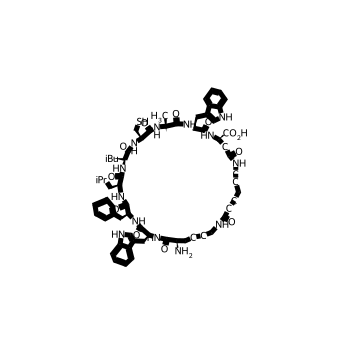 CC[C@H](C)[C@@H]1NC(=O)[C@H](CC(C)C)NC(=O)[C@H](Cc2ccccc2)NC(=O)[C@H](Cc2c[nH]c3ccccc23)NC(=O)[C@@H](N)CCCCNC(=O)CCCCCNC(=O)C[C@@H](C(=O)O)NC(=O)[C@H](Cc2c[nH]c3ccccc23)NC(=O)[C@H](C)NC(=O)[C@H](CS)NC1=O